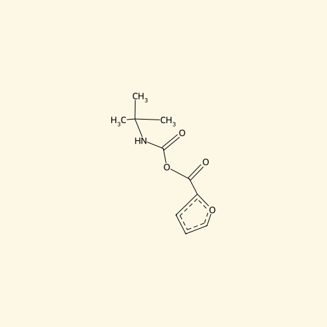 CC(C)(C)NC(=O)OC(=O)c1ccco1